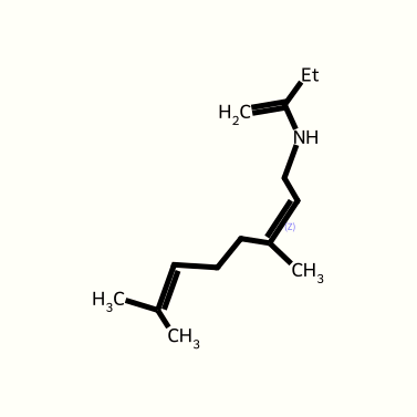 C=C(CC)NC/C=C(/C)CCC=C(C)C